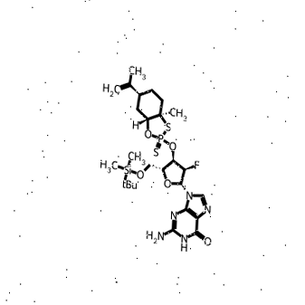 C=C(C)[C@H]1CC[C@@]2(C)SP(=S)(O[C@H]3[C@@H](F)[C@H](n4cnc5c(=O)[nH]c(N)nc54)O[C@@H]3CO[Si](C)(C)C(C)(C)C)O[C@@H]2C1